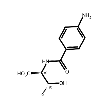 C[C@@H](O)[C@H](NC(=O)c1ccc(N)cc1)C(=O)O